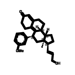 COc1cccc([C@H]2C[C@]3(C)[C@H](C=CCO)CC[C@H]3[C@@H]3CCC4=CC(=O)CCC4=C32)c1